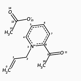 C=CC[n+]1ccccc1C(C)=O.CC(=O)[O-]